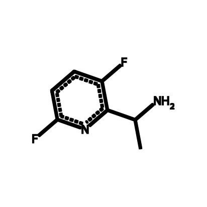 CC(N)c1nc(F)ccc1F